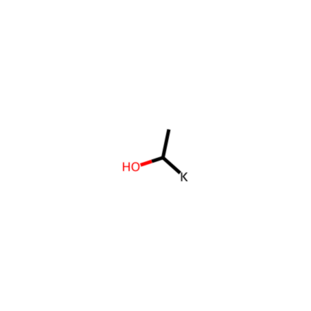 C[CH](O)[K]